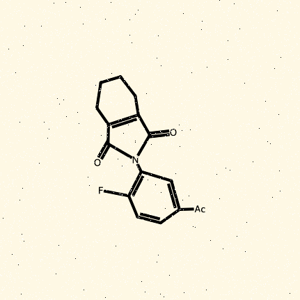 CC(=O)c1ccc(F)c(N2C(=O)C3=C(CCCC3)C2=O)c1